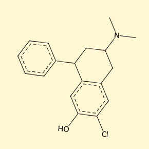 CN(C)C1Cc2cc(Cl)c(O)cc2C(c2ccccc2)C1